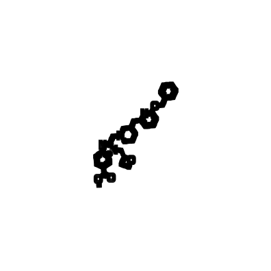 COC(=O)c1ccc2nc(CN3CCCC(Cc4cccc(OCc5ccccc5)n4)C3)n(C[C@@H]3CCO3)c2c1